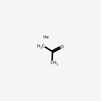 CC(C)=O.[He]